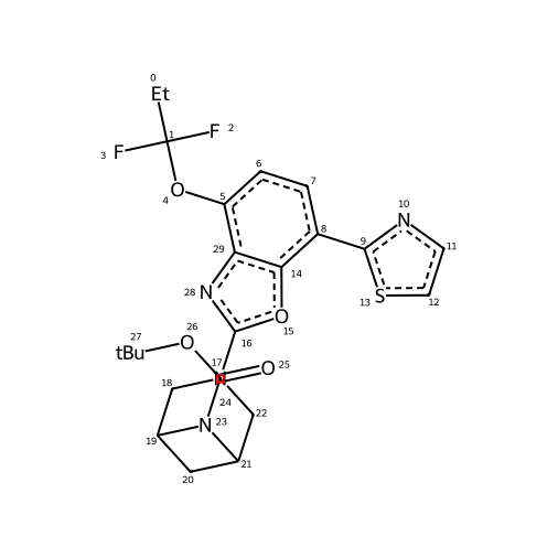 CCC(F)(F)Oc1ccc(-c2nccs2)c2oc(N3CC4CC(C3)N4C(=O)OC(C)(C)C)nc12